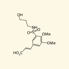 COc1cc(C=CC(=O)O)cc(S(=O)(=O)NCCCO)c1OC